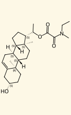 CCN(C)C(=O)C(=O)OC(C)[C@H]1CC[C@H]2[C@@H]3CC=C4C[C@@H](O)CC[C@]4(C)[C@H]3CC[C@]12C